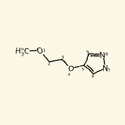 COCCOC1=C[N]N=C1